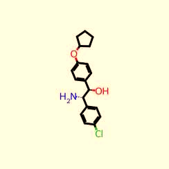 N[C@@H](c1ccc(Cl)cc1)[C@H](O)c1ccc(OC2CCCC2)cc1